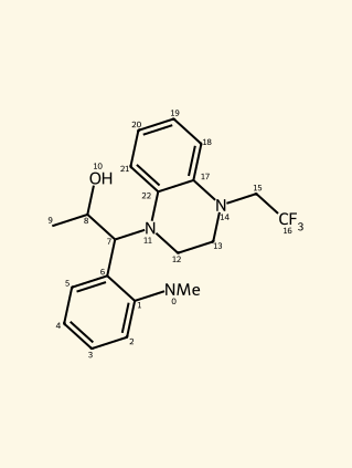 CNc1ccccc1C(C(C)O)N1CCN(CC(F)(F)F)c2ccccc21